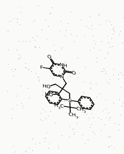 CC(C)(C)[Si](CC(CO)(CO)Cn1cc(F)c(=O)[nH]c1=O)(c1ccccc1)c1ccccc1